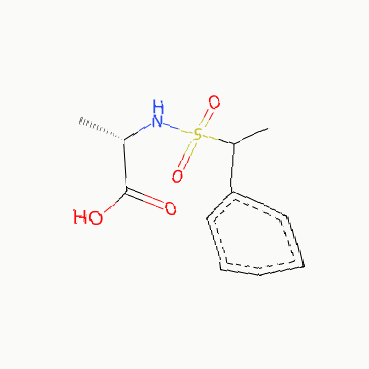 CC(c1ccccc1)S(=O)(=O)N[C@@H](C)C(=O)O